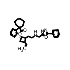 C=CC1C[C@H](OC(=O)C2(c3ccccc3)CCCCCC2)C1CCNCc1nnc(-c2ccccc2)o1